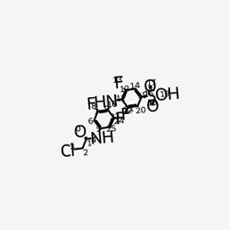 O=C(CCl)Nc1cc(F)c(Nc2c(F)cc(S(=O)(=O)O)cc2F)c(F)c1